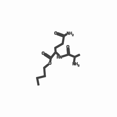 CCCCOC(=O)C(CCC(N)=O)NC(=O)C(C)N